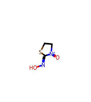 O=[N+]1CCSC1=NO